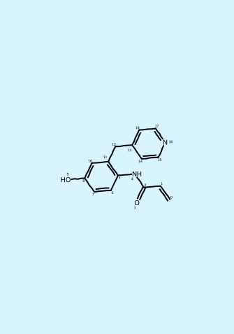 C=CC(=O)Nc1ccc(O)cc1Cc1ccncc1